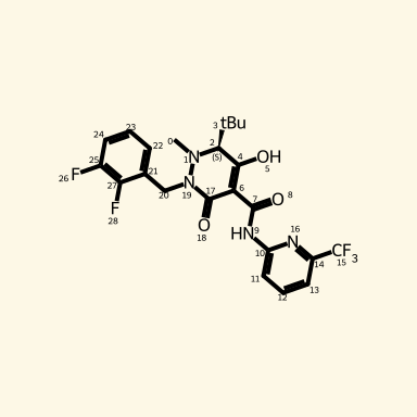 CN1[C@@H](C(C)(C)C)C(O)=C(C(=O)Nc2cccc(C(F)(F)F)n2)C(=O)N1Cc1cccc(F)c1F